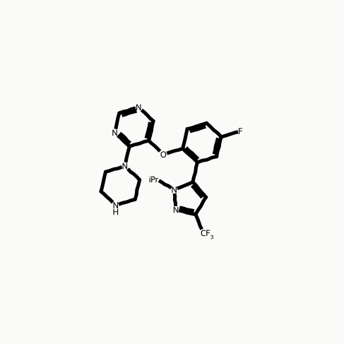 CC(C)n1nc(C(F)(F)F)cc1-c1cc(F)ccc1Oc1cncnc1N1CCNCC1